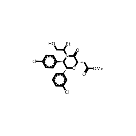 CCC(CO)N1C(=O)[C@H](CC(=O)OC)O[C@H](c2cccc(Cl)c2)[C@H]1c1ccc(Cl)cc1